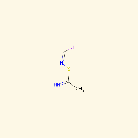 CC(=N)S/N=C\I